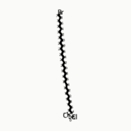 C[Si](Cl)(Cl)CCCCCCCCCCCCCCCCCCCCCCCCCCCCCCCCCCCCBr